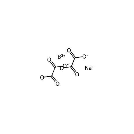 O=C([O-])C(=O)[O-].O=C([O-])C(=O)[O-].[B+3].[Na+]